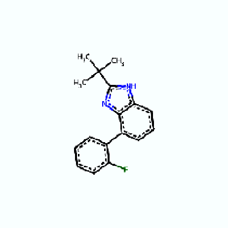 CC(C)(C)c1nc2c(-c3ccccc3F)cccc2[nH]1